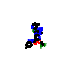 Cc1ccnc(Cl)c1Nc1nc2cc(C(=O)N[C@H]3CC[C@H](C)CC3)c(OCC(F)F)nc2n1C